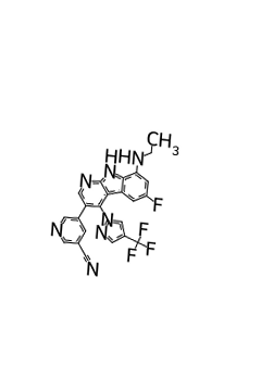 CCNc1cc(F)cc2c1[nH]c1ncc(-c3cncc(C#N)c3)c(-n3cc(C(F)(F)F)cn3)c12